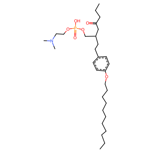 CCCCCCCCCCCOc1ccc(CCC(COP(=O)(O)OCCN(C)C)CC(=O)CCC)cc1